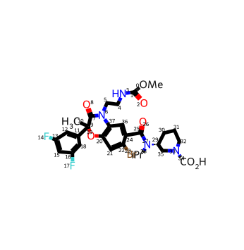 COC(=O)NCCN1C(=O)C(C)(c2cc(F)cc(F)c2)Oc2cc(Br)c(C(=O)N(C(C)C)[C@@H]3CCCN(C(=O)O)C3)cc21